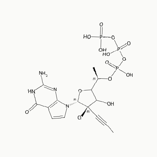 CC#C[C@@]1(Cl)C(O)C([C@@H](C)OP(=O)(O)OP(=O)(O)OP(=O)(O)O)O[C@H]1n1ccc2c(=O)[nH]c(N)nc21